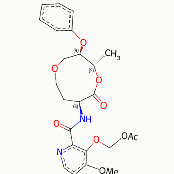 COc1ccnc(C(=O)N[C@H]2CCOC[C@@H](Oc3ccccc3)[C@H](C)OC2=O)c1OCOC(C)=O